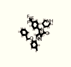 Cc1ccc(OCc2ccccc2)c(-n2cc3c(n2)C(=O)N(C2CCNCC2)C3c2ccc(C(F)(F)F)cc2)c1